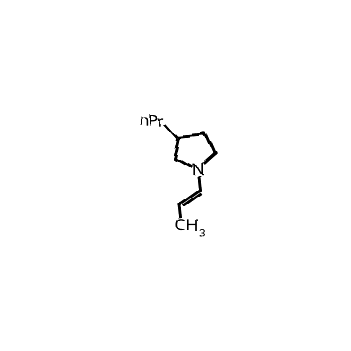 CC=CN1CCC(CCC)C1